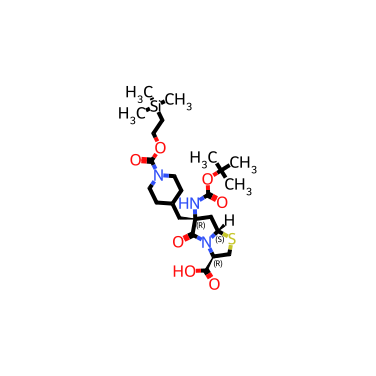 CC(C)(C)OC(=O)N[C@]1(CC2CCN(C(=O)OCC[Si](C)(C)C)CC2)C[C@@H]2SC[C@@H](C(=O)O)N2C1=O